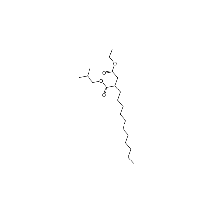 CCCCCCCCCCCC(CC(=O)OCC)C(=O)OCC(C)C